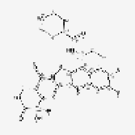 CC[C@]1(O)C(=O)OCc2c1cc1n(c2=O)Cc2c-1nc1cc(F)c(C)c3c1c2[C@H](NC(=O)C1CCNCC1)CC3